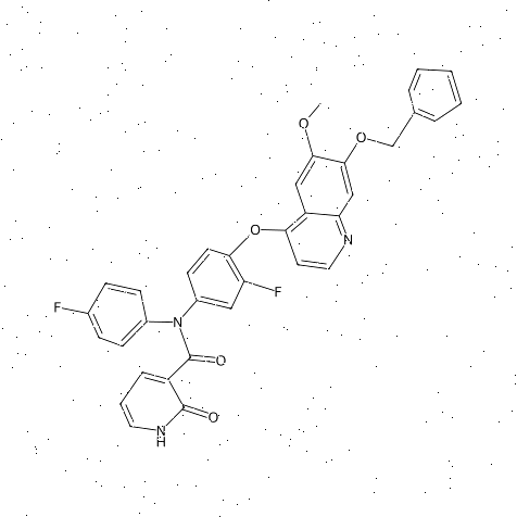 COc1cc2c(Oc3ccc(N(C(=O)c4ccc[nH]c4=O)c4ccc(F)cc4)cc3F)ccnc2cc1OCc1ccccc1